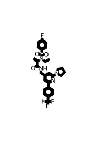 C=C(C(=O)NCc1cc(-c2ccc(C(F)(F)F)cc2)nc(N2CCCC2)c1)N(CC)S(=O)(=O)c1ccc(F)cc1